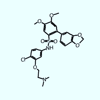 COc1cc(-c2ccc3c(c2)OCO3)c(S(=O)(=O)Nc2ccc(Cl)c(OCCN(C)C)c2)cc1OC